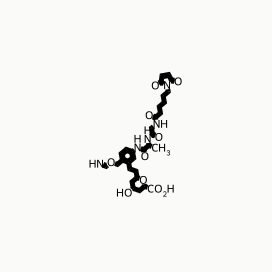 CC(NC(=O)CNC(=O)CCCCCN1C(=O)C=CC1=O)C(=O)Nc1ccc(COC=N)c(CCC2CC(O)CC(C(=O)O)O2)c1